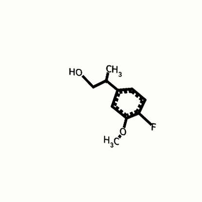 COc1cc([C](C)CO)ccc1F